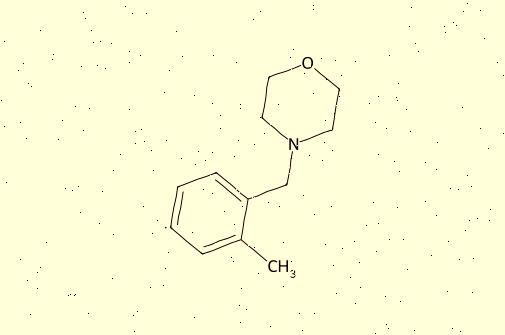 Cc1c[c]ccc1CN1CCOCC1